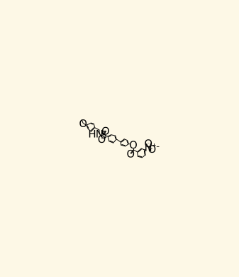 COc1ccc(CNS(=O)(=O)c2ccc(-c3ccc(OC(=O)c4cccc([N+](=O)[O-])c4)cc3)cc2)cc1